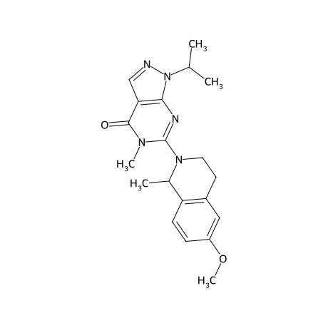 COc1ccc2c(c1)CCN(c1nc3c(cnn3C(C)C)c(=O)n1C)C2C